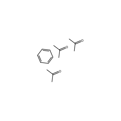 CC(C)=O.CC(C)=O.CC(C)=O.c1ccccc1